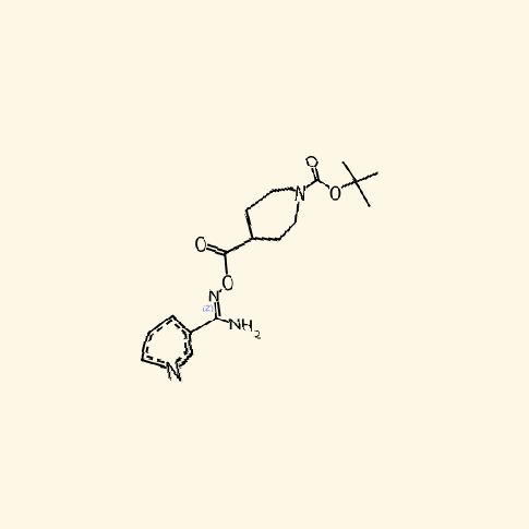 CC(C)(C)OC(=O)N1CCC(C(=O)O/N=C(\N)c2cccnc2)CC1